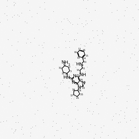 NC1CCC(Nc2nc(NCCNCc3ccccc3)c3ncn(C4CCCC4)c3n2)CC1